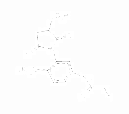 O=C(CI)Nc1ccc(C(=O)O)c(N2C(=O)CC(S(=O)(=O)O)C2=O)c1